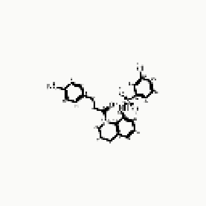 N#Cc1ccc(CCC(=O)N2CCCc3cccc(NS(=O)(=O)c4cccc(Cl)c4)c32)cc1